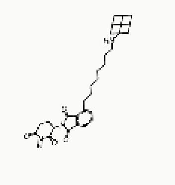 O=C1CCC(N2C(=O)c3cccc(CCCCCCCCNC45CC6CC7CC(C4)C765)c3C2=O)C(=O)N1